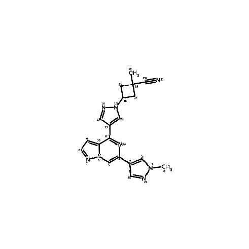 Cn1cc(-c2cn3nccc3c(-c3cnn(C4CC(C)(C#N)C4)c3)n2)cn1